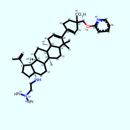 C=C(C)[C@@H]1CC[C@]2(NCCN(CCC)CCC)CCC3[C@H](CCC4[C@@]3(C)CCC3C(C)(C)C(C5=CCC(COc6ccccn6)(C(=O)O)CC5)=CC[C@@]34C)C12